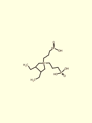 CCC1C[N+](CCC[PH](=O)O)(CCCP(=O)(O)O)CC1CC